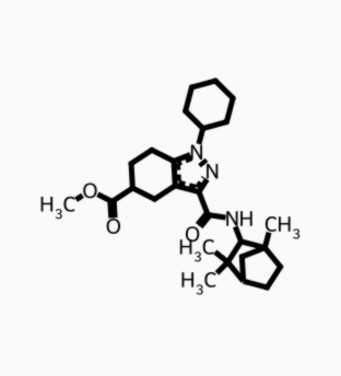 COC(=O)C1CCc2c(c(C(=O)NC3C4(C)CCC(C4)C3(C)C)nn2C2CCCCC2)C1